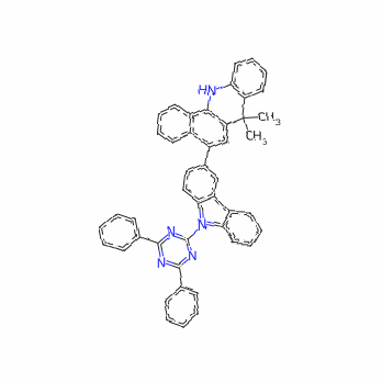 CC1(C)c2ccccc2Nc2c1cc(-c1ccc3c(c1)c1ccccc1n3-c1nc(-c3ccccc3)nc(-c3ccccc3)n1)c1ccccc21